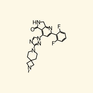 CN1CC2(CCN(c3ncn(-c4cc(-c5c(F)cccc5F)nc5c4C(=O)NC5)n3)CC2)C1